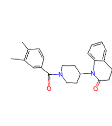 Cc1ccc(C(=O)N2CCC(N3C(=O)CCc4ccccc43)CC2)cc1C